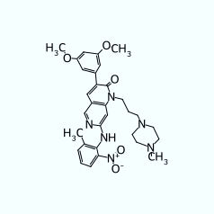 COc1cc(OC)cc(-c2cc3cnc(Nc4c(C)cccc4[N+](=O)[O-])cc3n(CCCN3CCN(C)CC3)c2=O)c1